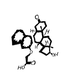 C[C@]12CCC(=O)C[C@@H]1CC[C@@H]1[C@@H]2CC[C@]2(C)[C@@H](O)CC[C@@H]12.O=C(O)COc1ccc2ccccc2c1